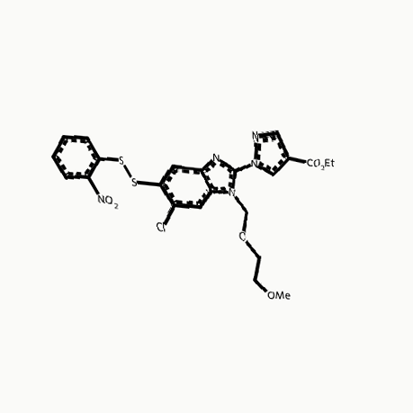 CCOC(=O)c1cnn(-c2nc3cc(SSc4ccccc4[N+](=O)[O-])c(Cl)cc3n2COCCOC)c1